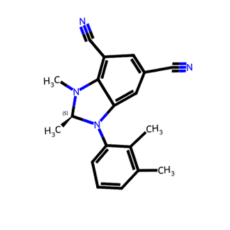 Cc1cccc(N2c3cc(C#N)cc(C#N)c3N(C)[C@@H]2C)c1C